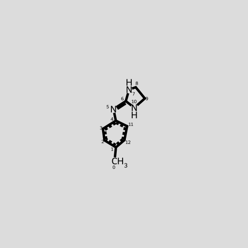 Cc1ccc(N=C2NCCN2)cc1